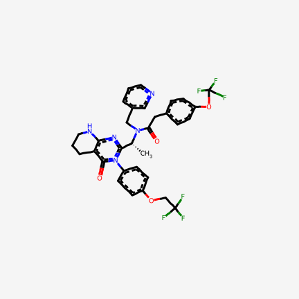 C[C@H](c1nc2c(c(=O)n1-c1ccc(OCC(F)(F)F)cc1)CCCN2)N(Cc1cccnc1)C(=O)Cc1ccc(OC(F)(F)F)cc1